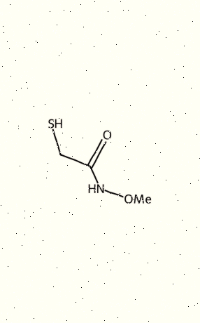 CONC(=O)CS